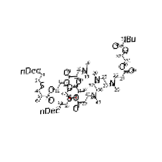 CCCCCCCCCCCCSCC(C)C(=O)OCCOC(=O)CCN(C)CCN(CCN(C)CCC(=O)OCCOC(=O)C(C)CC)CCN(C)CCC(=O)OCCOC(=O)C(C)CSCCCCCCCCCCCC